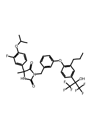 CCCc1cc(C(O)(C(F)(F)F)C(F)(F)F)ccc1Oc1cccc(CN2C(=O)NC(C)(c3ccc(OC(C)C)c(F)c3)C2=O)c1